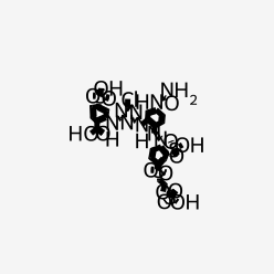 NC(=O)Nc1ccc(/N=N/c2ccc(S(=O)(=O)CCOS(=O)(=O)O)cc2S(=O)(=O)O)c(Nc2nc(Cl)nc(Nc3cc(S(=O)(=O)O)ccc3C(=O)O)n2)c1